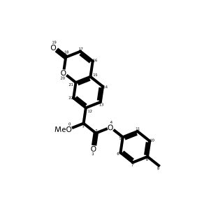 COC(C(=O)Oc1ccc(C)cc1)c1ccc2ccc(=O)oc2c1